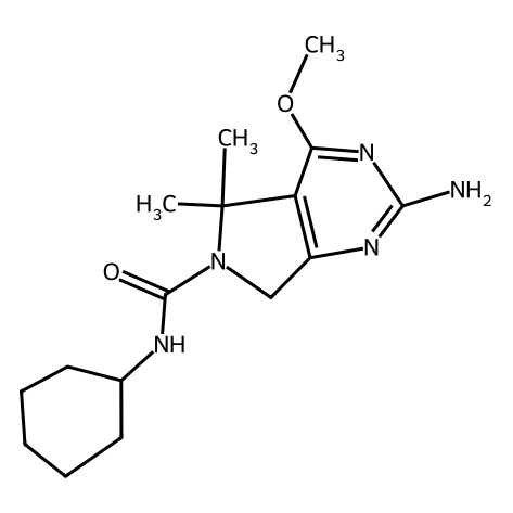 COc1nc(N)nc2c1C(C)(C)N(C(=O)NC1CCCCC1)C2